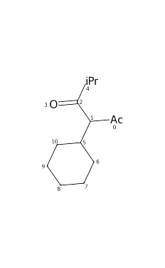 CC(=O)C(C(=O)C(C)C)C1CCCCC1